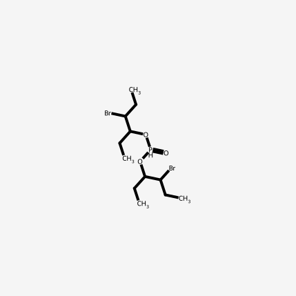 CCC(Br)C(CC)O[PH](=O)OC(CC)C(Br)CC